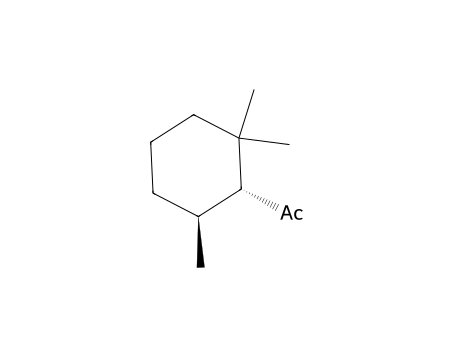 CC(=O)[C@@H]1[C@@H](C)CCCC1(C)C